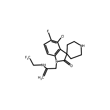 C=C(CN1C(=O)C2(CCNCC2)c2c1ccc(F)c2Cl)NCC(F)(F)F